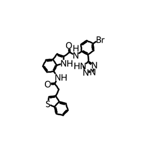 O=C(Cc1csc2ccccc12)Nc1cccc2cc(C(=O)Nc3ccc(Br)cc3-c3nnn[nH]3)[nH]c12